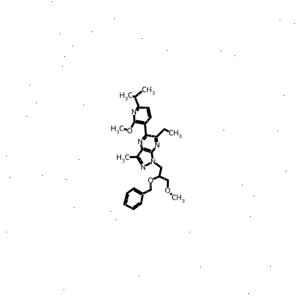 CCc1nc2c(nc1-c1ccc(C(C)C)nc1OC)c(C)nn2CC(COC)OCc1ccccc1